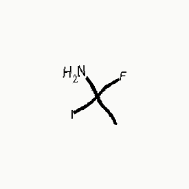 CC(N)(F)I